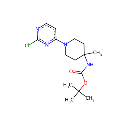 CC1(NC(=O)OC(C)(C)C)CCN(c2ccnc(Cl)n2)CC1